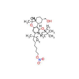 CC(C)(CCCCCCO[N+](=O)[O-])c1cc2c(c(O[Si](C)(C)C(C)(C)C)c1)[C@@H]1C[C@H](CO)CC[C@H]1C(C)(C)O2